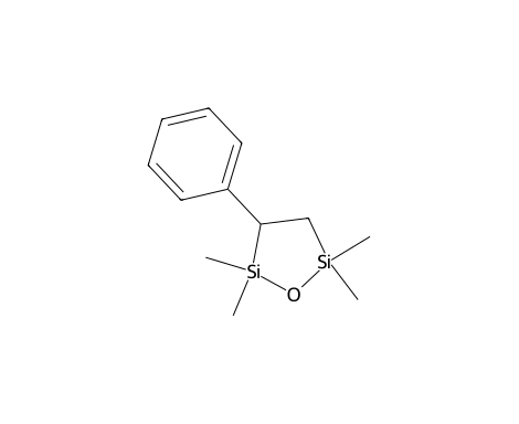 C[Si]1(C)CC(c2ccccc2)[Si](C)(C)O1